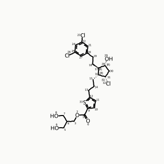 O=C(OCC(CO)CO)c1ccc(CCC[C@@H]2[C@@H](CCc3cc(Cl)cc(Cl)c3)[C@H](O)C[C@@H]2Cl)s1